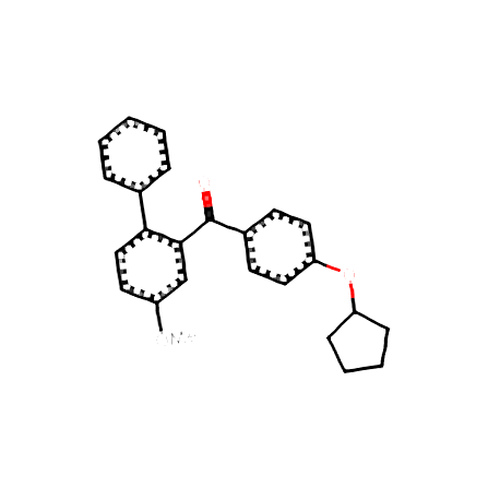 COc1ccc(-c2ccccc2)c(C(=O)c2ccc(OC3CCCC3)cc2)c1